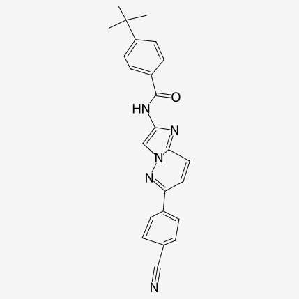 CC(C)(C)c1ccc(C(=O)Nc2cn3nc(-c4ccc(C#N)cc4)ccc3n2)cc1